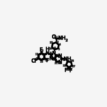 NC(=O)[C@H]1CC[C@H](n2c(Nc3c(F)cc(Cl)cc3F)nc3cnc(N[C@@H]4CCC(F)(F)C4)nc32)CC1